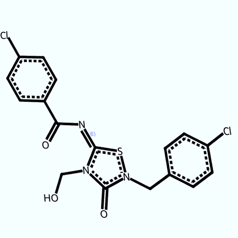 O=C(/N=c1/sn(Cc2ccc(Cl)cc2)c(=O)n1CO)c1ccc(Cl)cc1